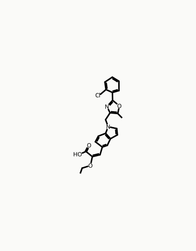 CCO/C(=C/c1ccc2c(ccn2Cc2nc(-c3ccccc3Cl)oc2C)c1)C(=O)O